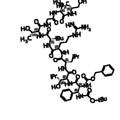 CCC(C)[C@H](NC(=O)[C@@H](CCCNC(=N)N)NC(=O)[C@H](CC(C)C)NC(=O)[C@@H](NC(=O)[C@@H](NC(=O)OCc1ccccc1)[C@H](NC(=O)OC(C)(C)C)c1ccccc1)[C@H](O)C(C)C)C(=O)N[C@H](C(=O)NCC(=O)N[C@@H](CO)C(=O)N[C@@H](CO)C(=O)O)[C@H](C)O